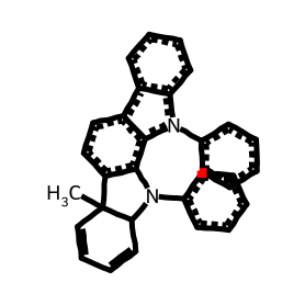 CC12C=CC=CC1N(c1ccccc1)c1c2ccc2c3ccccc3n(-c3ccccc3)c12